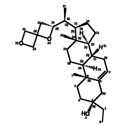 CC[C@]1(O)CC[C@@]2(C)C(=CC[C@H]3[C@@H]4CC[C@H]([C@H](C)[C@H]5CC6(COC6)O5)[C@@]4(C)CC[C@@H]32)C1